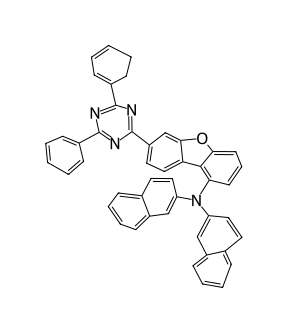 C1=CCCC(c2nc(-c3ccccc3)nc(-c3ccc4c(c3)oc3cccc(N(c5ccc6ccccc6c5)c5ccc6ccccc6c5)c34)n2)=C1